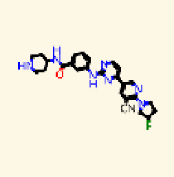 N#Cc1cc(-c2ccnc(Nc3cccc(C(=O)NC4CCNCC4)c3)n2)cnc1N1CCC(F)C1